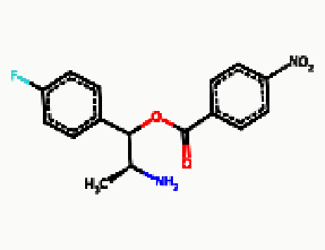 C[C@H](N)C(OC(=O)c1ccc([N+](=O)[O-])cc1)c1ccc(F)cc1